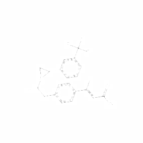 C/C(=C\C(=O)O)c1ccc(C[C@H](C)N2C[C@@H]2c2cccc(C(F)(F)F)c2)cc1